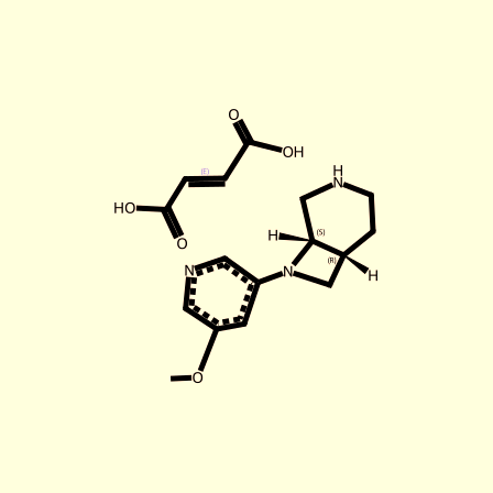 COc1cncc(N2C[C@H]3CCNC[C@H]32)c1.O=C(O)/C=C/C(=O)O